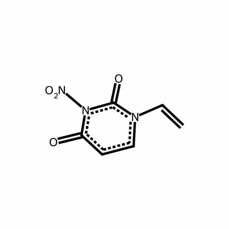 C=Cn1ccc(=O)n([N+](=O)[O-])c1=O